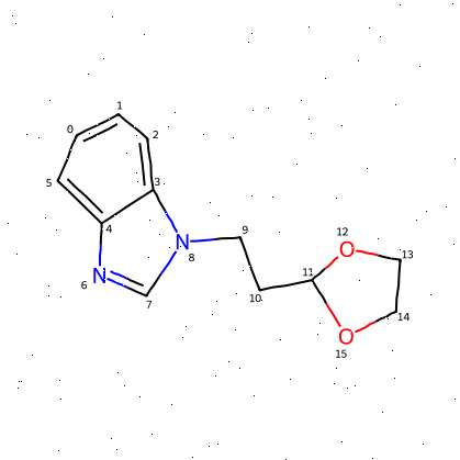 c1ccc2c(c1)ncn2CCC1OCCO1